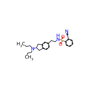 CCCN(CCC)[C@@H]1Cc2ccc(CCNS(=O)(=O)c3ccccc3C#N)cc2C1